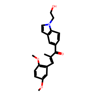 COc1ccc(OC)c(/C=C(\C)C(=O)c2ccc3c(ccn3CCO)c2)c1